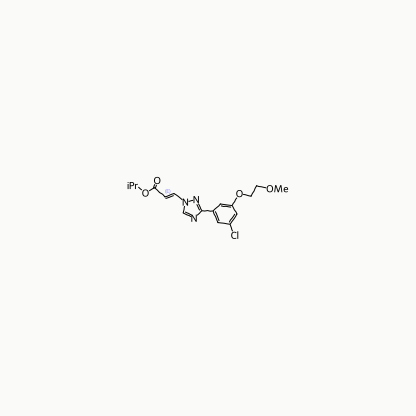 COCCOc1cc(Cl)cc(-c2ncn(/C=C/C(=O)OC(C)C)n2)c1